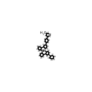 Cc1cncc(-c2ccc(-c3ccc4c(c3)-c3ccccc3B3c5ccccc5-c5cc(-c6ccccc6)ccc5N34)cc2)c1